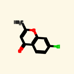 O=C(O)c1cc(=O)c2ccc(Cl)cc2o1